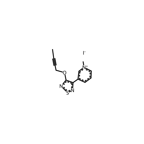 CC#CCOc1nsnc1-c1ccc[n+](C)c1.[I-]